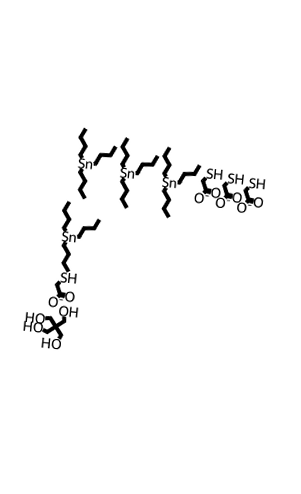 CCC[CH2][Sn+]([CH2]CCC)[CH2]CCC.CCC[CH2][Sn+]([CH2]CCC)[CH2]CCC.CCC[CH2][Sn+]([CH2]CCC)[CH2]CCC.CCC[CH2][Sn+]([CH2]CCC)[CH2]CCC.O=C([O-])CS.O=C([O-])CS.O=C([O-])CS.O=C([O-])CS.OCC(CO)(CO)CO